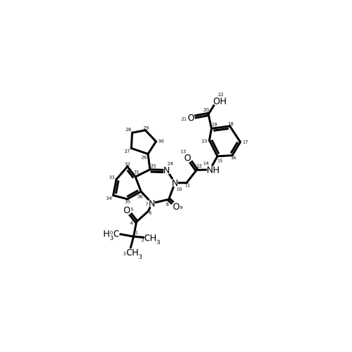 CC(C)(C)C(=O)CN1C(=O)N(CC(=O)Nc2cccc(C(=O)O)c2)N=C(C2CCCC2)c2ccccc21